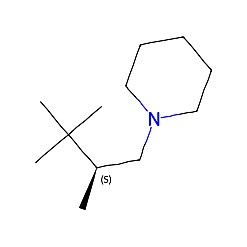 C[C@H](CN1CCCCC1)C(C)(C)C